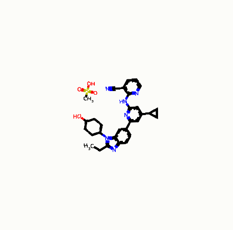 CCc1nc2ccc(-c3cc(C4CC4)cc(Nc4ncccc4C#N)n3)cc2n1C1CCC(O)CC1.CS(=O)(=O)O